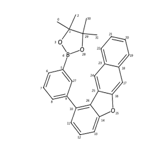 CC1(C)OB(c2cccc(-c3cccc4oc5cc6ccccc6cc5c34)c2)OC1(C)C